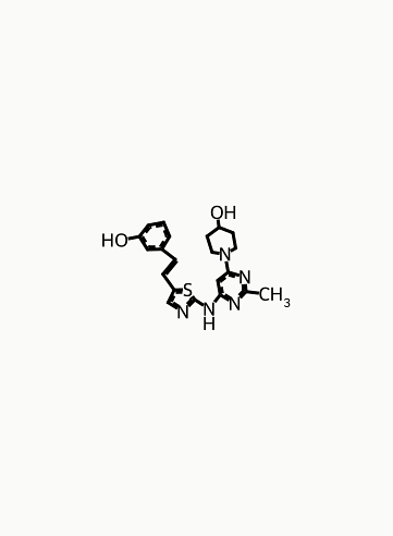 Cc1nc(Nc2ncc(C=Cc3cccc(O)c3)s2)cc(N2CCC(O)CC2)n1